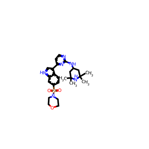 CC1(C)CC(Nc2nccc(-c3c[nH]c4cc(S(=O)(=O)N5CCOCC5)ccc34)n2)CC(C)(C)N1